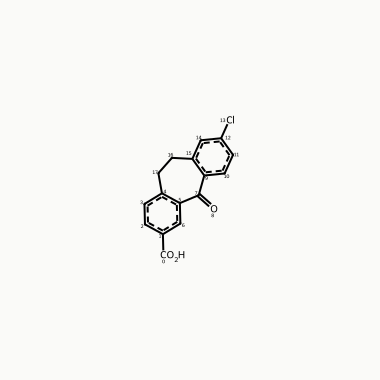 O=C(O)c1ccc2c(c1)C(=O)c1ccc(Cl)cc1CC2